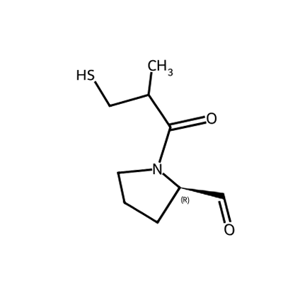 CC(CS)C(=O)N1CCC[C@@H]1C=O